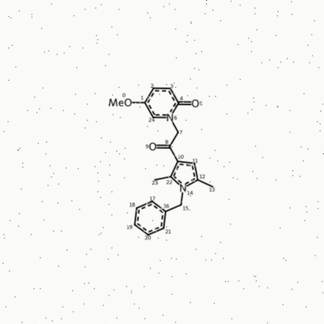 COc1ccc(=O)n(CC(=O)c2cc(C)n(Cc3ccccc3)c2C)c1